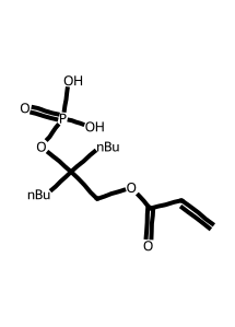 C=CC(=O)OCC(CCCC)(CCCC)OP(=O)(O)O